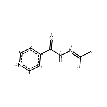 CC(C)=NNC(=O)c1ccncc1